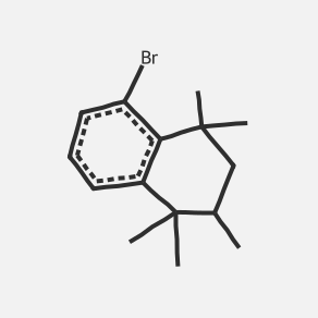 CC1CC(C)(C)c2c(Br)cccc2C1(C)C